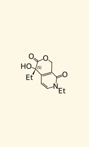 CCn1ccc2c(c1=O)COC(=O)[C@]2(O)CC